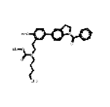 COc1ccc(-c2ccc3c(c2)CCN3C(=O)c2ccccc2)cc1CCN(CCCCC=O)C(=O)OC(C)(C)C